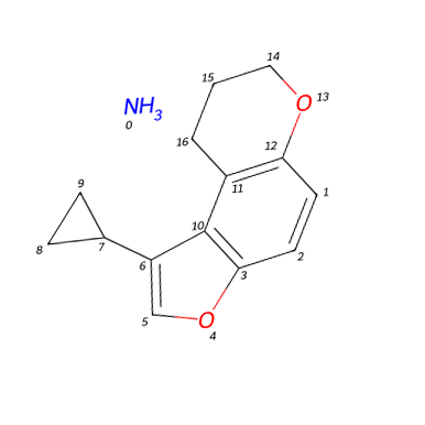 N.c1cc2occ(C3CC3)c2c2c1OCCC2